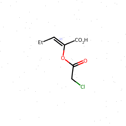 CC/C=C(\OC(=O)CCl)C(=O)O